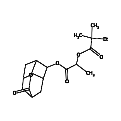 CCC(C)(C)C(=O)OC(C)C(=O)OC1C2CC3CC(C2)C(=O)OC1C3